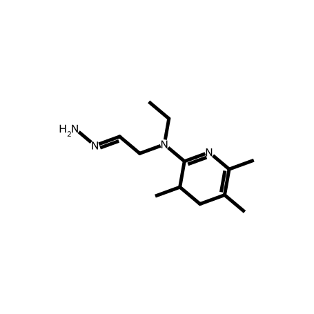 CCN(CC=NN)C1=NC(C)=C(C)CC1C